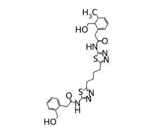 CC1C=CC=C(CC(=O)Nc2nnc(CCCCc3nnc(NC(=O)Cc4ccccc4CO)s3)s2)C1CO